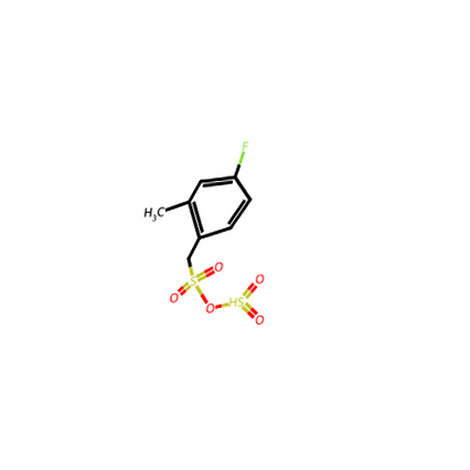 Cc1cc(F)ccc1CS(=O)(=O)O[SH](=O)=O